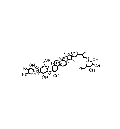 C[C@H](CCC1(O)O[C@H]2C[C@H]3[C@@H]4CC[C@H]5C[C@@H](O[C@@H]6O[C@H](CO)[C@@H](O[C@@H]7OC[C@@H](O)[C@H](O)[C@H]7O)[C@H](O)[C@H]6O)[C@H](O)C[C@]5(C)[C@H]4CC[C@]3(C)[C@H]2[C@@H]1C)CO[C@@H]1O[C@H](CO)[C@@H](O)[C@H](O)[C@H]1O